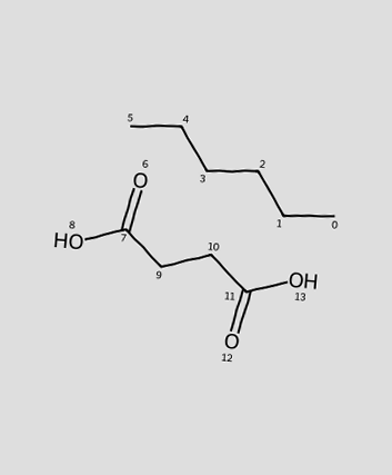 CCCCCC.O=C(O)CCC(=O)O